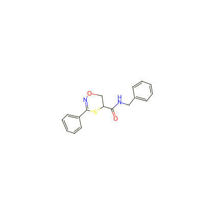 O=C(NCc1ccccc1)C1CON=C(c2ccccc2)S1